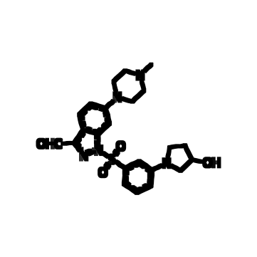 CN1CCN(c2ccc3c(C=O)nn(S(=O)(=O)c4cccc(N5CCC(O)C5)c4)c3c2)CC1